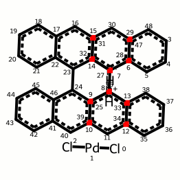 [Cl][Pd][Cl].c1ccc([PH+](c2ccccc2)c2ccc3ccccc3c2-c2c([PH+](c3ccccc3)c3ccccc3)ccc3ccccc23)cc1